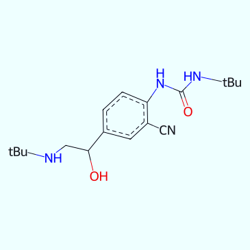 CC(C)(C)NCC(O)c1ccc(NC(=O)NC(C)(C)C)c(C#N)c1